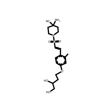 Cc1cc(OCCC(O)CO)ccc1/C=C/S(=O)(=O)N1CCC(N)(C#N)CC1